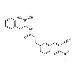 CN(C)C(=O)C(C#N)=Cc1cccc(CCC(=O)NC(Cc2ccccc2)B(O)O)c1